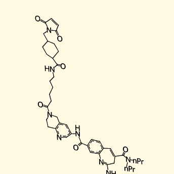 CCCN(CCC)C(=O)C1=Cc2ccc(C(=O)Nc3cnc4c(c3)CN(C(=O)CCCCCNC(=O)C3CCC(CN5C(=O)C=CC5=O)CC3)CC4)cc2N=C(N)C1